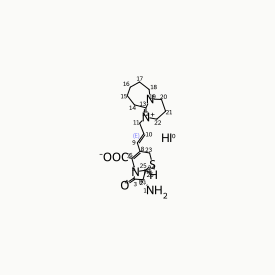 I.N[C@@H]1C(=O)N2C(C(=O)[O-])=C(/C=C/C[N+]3=C4CCCCCN4CCC3)CS[C@H]12